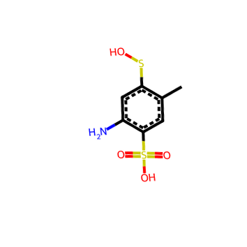 Cc1cc(S(=O)(=O)O)c(N)cc1SO